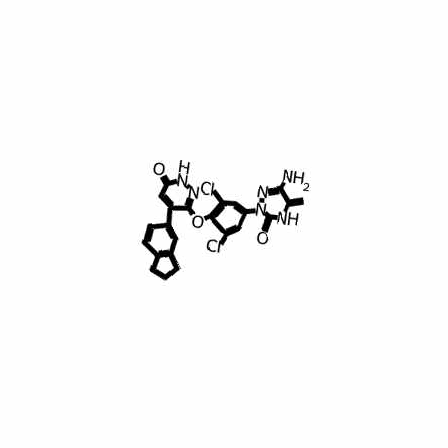 C=C1NC(=O)N(c2cc(Cl)c(Oc3n[nH]c(=O)cc3-c3ccc4c(c3)CCC4)c(Cl)c2)N=C1N